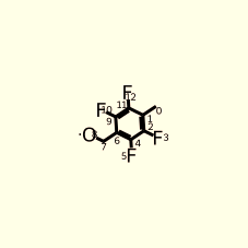 Cc1c(F)c(F)c(C[O])c(F)c1F